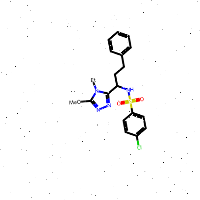 CCn1c(OC)nnc1C(CCc1ccccc1)NS(=O)(=O)c1ccc(Cl)cc1